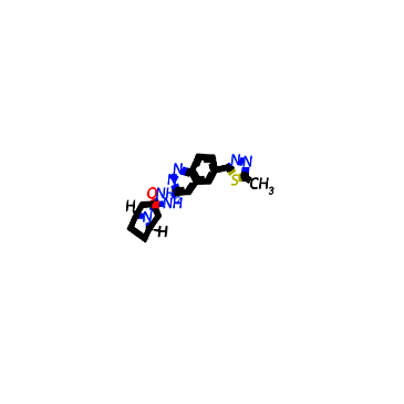 Cc1nnc(-c2ccc3nnc(NC(=O)N4[C@@H]5CC[C@H]4C[C@@H](N)C5)cc3c2)s1